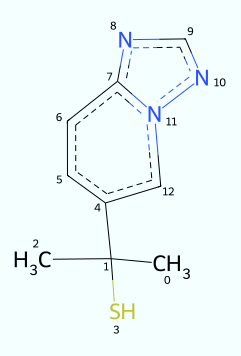 CC(C)(S)c1ccc2ncnn2c1